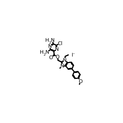 CCn1c(COC(=O)c2nc(Cl)c(N)nc2N)[n+](C)c2cc(-c3ccc(OC)cc3)ccc21.[I-]